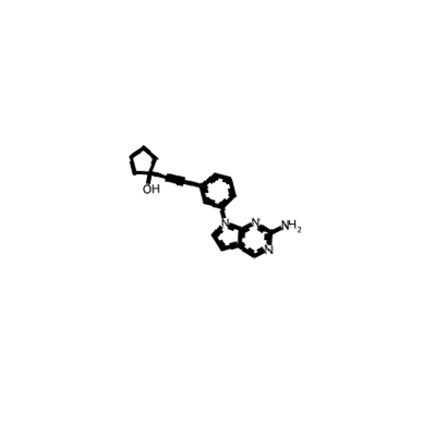 Nc1ncc2ccn(-c3cccc(C#CC4(O)CCCC4)c3)c2n1